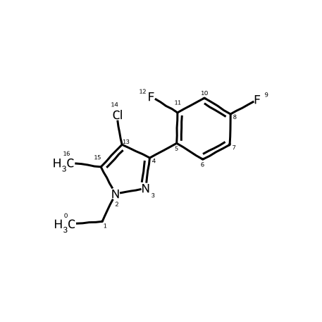 CCn1nc(-c2ccc(F)cc2F)c(Cl)c1C